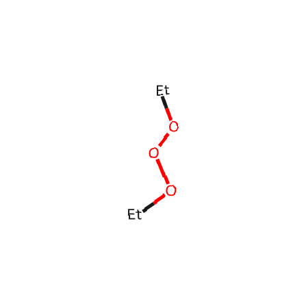 CCOOOCC